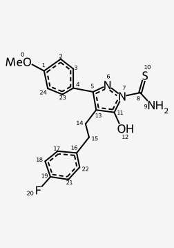 COc1ccc(-c2nn(C(N)=S)c(O)c2CCc2ccc(F)cc2)cc1